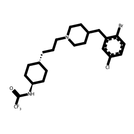 O=C(N[C@H]1CC[C@H](CCCN2CCC(Cc3cc(Cl)ccc3Br)CC2)CC1)C(F)(F)F